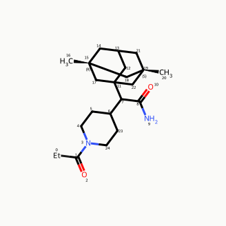 CCC(=O)N1CCC(C(C(N)=O)C23CC4C[C@@](C)(C2)C[C@](C)(C4)C3)CC1